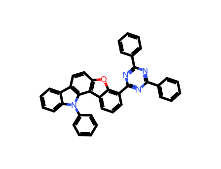 c1ccc(-c2nc(-c3ccccc3)nc(-c3cccc4c3oc3ccc5c6ccccc6n(-c6ccccc6)c5c34)n2)cc1